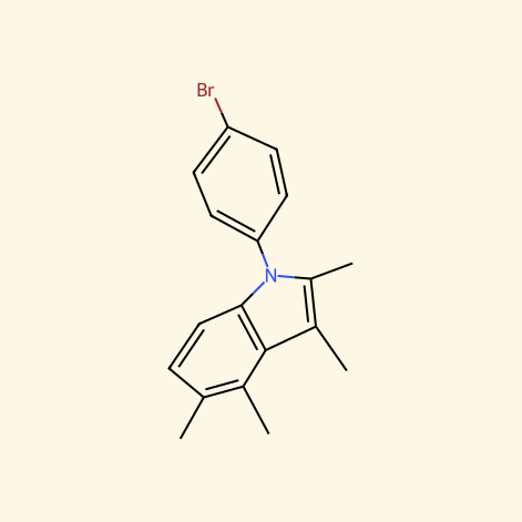 Cc1ccc2c(c1C)c(C)c(C)n2-c1ccc(Br)cc1